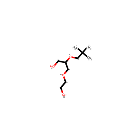 CC(C)(C)COC(CO)COCCO